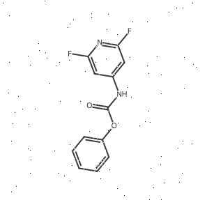 O=C(Nc1cc(F)nc(F)c1)Oc1ccccc1